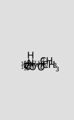 CC(C)C(=O)/C=C/CC(=O)Nc1ccccc1